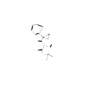 CC1(C)OC(=O)C(C(=O)C2(c3ccccc3)CC2)C(=O)O1